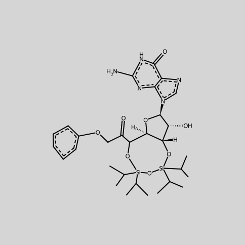 CC(C)[Si]1(C(C)C)OC(C(=O)COc2ccccc2)[C@H]2O[C@@H](n3cnc4c(=O)[nH]c(N)nc43)[C@H](O)[C@@H]2O[Si](C(C)C)(C(C)C)O1